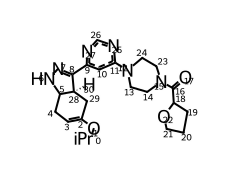 CC(C)OC1=CCC2NN=C(c3cc(N4CCN(C(=O)C5CCCO5)CC4)ncn3)[C@H]2C1